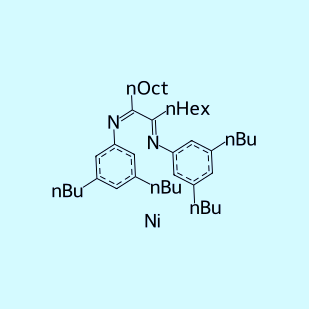 CCCCCCCCC(=Nc1cc(CCCC)cc(CCCC)c1)C(CCCCCC)=Nc1cc(CCCC)cc(CCCC)c1.[Ni]